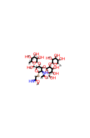 COC(=N)CS[C@@H]1O[C@@H](CO)[C@@H](O[C@@H]2OC(C)[C@@H](O)[C@H](O)C2O)C(O[C@@H]2O[C@@H](CO)[C@H](O)C(O)C2O[C@@H]2O[C@@H](C)[C@@H](O)C(O)C2O)C1NC(C)=O